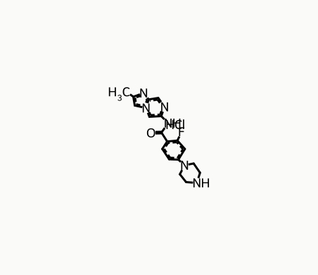 Cc1cn2cc(NC(=O)c3ccc(N4CCNCC4)cc3F)ncc2n1.Cl